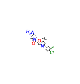 CC(C)(C)c1cc(-c2ccc(Cl)c(F)c2)nc2cc(C(=O)N3CCC(N)CC3(C)C)oc12